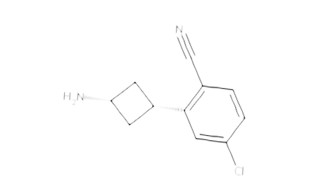 N#Cc1ccc(Cl)cc1[C@H]1C[C@@H](N)C1